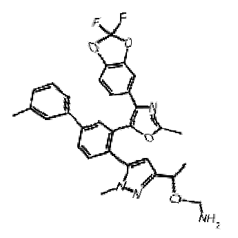 Cc1cccc(-c2ccc(-c3cc(C(C)OCN)nn3C)c(-c3oc(C)nc3-c3ccc4c(c3)OC(F)(F)O4)c2)c1